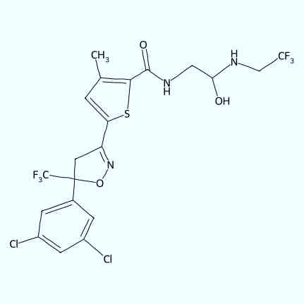 Cc1cc(C2=NOC(c3cc(Cl)cc(Cl)c3)(C(F)(F)F)C2)sc1C(=O)NCC(O)NCC(F)(F)F